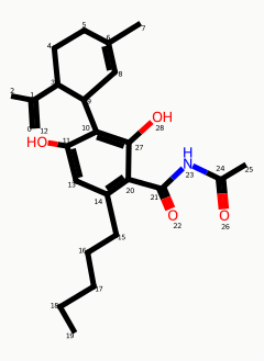 C=C(C)C1CCC(C)=CC1c1c(O)cc(CCCCC)c(C(=O)NC(C)=O)c1O